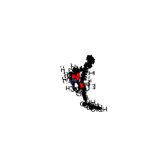 CCN(C)C/C(O)=C\C1(/C=C(/O)CNC(C)Cc2ccc(Nc3nc(NCCCCCCCC(=O)NCCCC[C@H](NC(=O)N[C@@H](CCC(=O)O)C(=O)O)C(=O)O)nc(N4CCC(c5ccccc5)CC4)n3)cc2)/C=C(/O)CN(C)CCN(C)C/C(O)=C\1